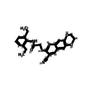 CCc1cccc(CC)c1NC(=O)CSc1nc2cc3c(cc2cc1C#N)OCCO3